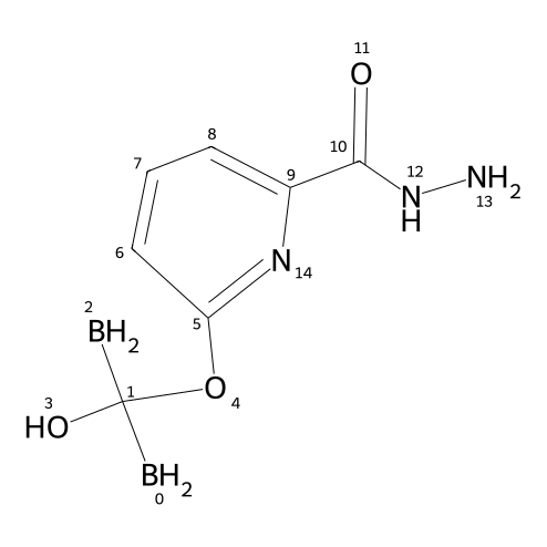 BC(B)(O)Oc1cccc(C(=O)NN)n1